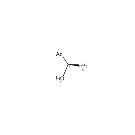 CCC[C@@H](O)C(C)=O